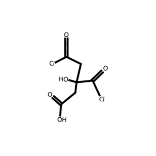 O=C(O)CC(O)(CC(=O)Cl)C(=O)Cl